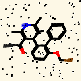 COC(=O)C1=C(C)NC(C)=C(C)C1c1cccc(OCS)c1-c1ccccc1